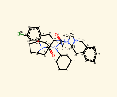 CCN(CC)C(=O)N(C1CCCCC1)C1CC2CCC(C1)N2C(=O)[C@@H](Cc1ccc(Cl)cc1)NC[C@H]1Cc2ccccc2CN1C(=O)O